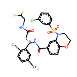 O=C(C[C@H](NC(=O)c1ccc2c(c1)N(S(=O)(=O)c1cccc(Cl)c1)CCO2)c1cc(C(F)(F)F)ccc1Cl)NCC(F)F